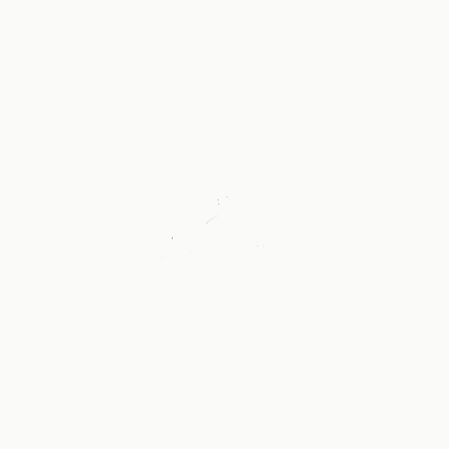 CC(C)(C)c1cc(C(=O)c2ccc(O)cc2)cc(C(C)(C)C)c1